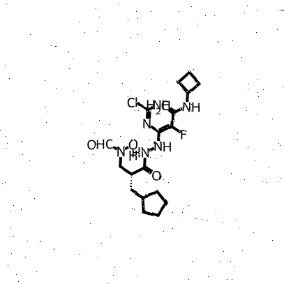 C=C(NC1CCC1)/C(F)=C(\N=C(/N)Cl)NNC(=O)[C@H](CC1CCCC1)CN(O)C=O